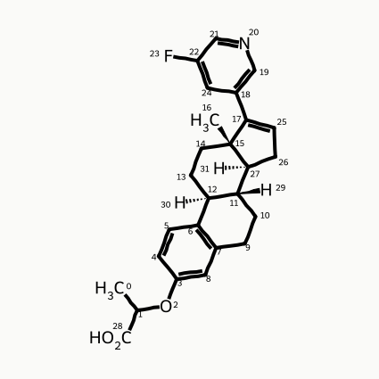 CC(Oc1ccc2c(c1)CC[C@@H]1[C@@H]2CC[C@]2(C)C(c3cncc(F)c3)=CC[C@@H]12)C(=O)O